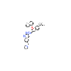 O=C(O)c1ccc(C=C(CNc2cnc3ccc(CN4CCCC4)cc3c2)COc2cccc3ccccc23)cc1